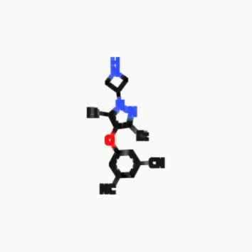 CCc1nn(C2CNC2)c(CC)c1Oc1cc(C#N)cc(C#N)c1